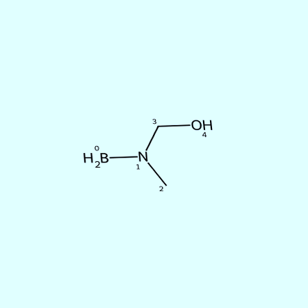 BN(C)CO